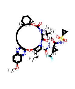 CC[C@@H]1[C@@H]2CN(C(=O)[C@H](C(C)(C)C)NC(=O)O[C@@H]3CCCC[C@H]3CCCCCc3nc4ccc(OC)cc4nc3O2)[C@@H]1C(=O)N[C@]1(C(=O)NS(=O)(=O)C2CC2)C[C@H]1C(F)F